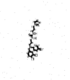 S=C(NCCCN(Cc1ccc(Cl)c(Cl)c1)c1ccc(Br)cn1)NCCCn1ccnc1